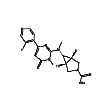 CCCCC(=O)N1C[C@@H]2[C@H](C1)[C@@H]2N(C)c1nc(-c2ccncc2F)cc(=O)n1C